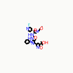 COCCN1C[C@@H](NC(=O)Nc2c(C)c(-c3cnc(OC)c(C(C)(C)O)c3)nn2-c2ccccc2)[C@H](c2ccnc(F)c2)O1